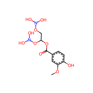 COc1cc(C(=O)OC(CON(O)O)ON(O)O)ccc1O